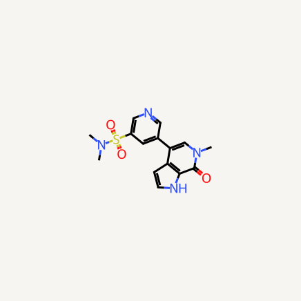 CN(C)S(=O)(=O)c1cncc(-c2cn(C)c(=O)c3[nH]ccc23)c1